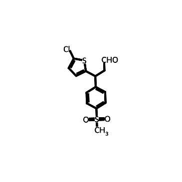 CS(=O)(=O)c1ccc(C(CC=O)c2ccc(Cl)s2)cc1